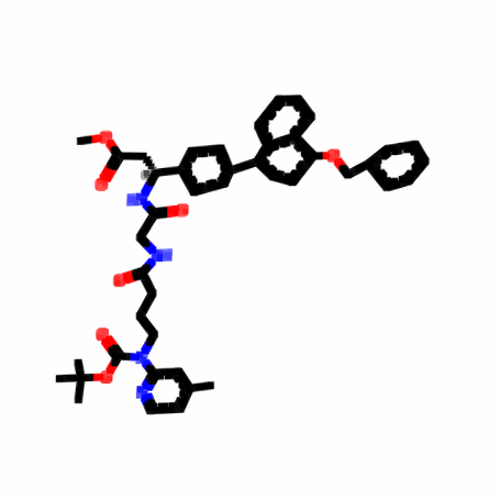 COC(=O)C[C@@H](NC(=O)CNC(=O)CCCN(C(=O)OC(C)(C)C)c1cc(C)ccn1)c1ccc(-c2ccc(OCc3ccccc3)c3ccccc23)cc1